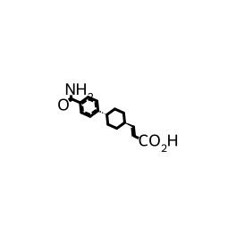 NC(=O)c1ccc([C@H]2CC[C@H](/C=C/C(=O)O)CC2)cc1